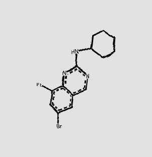 CCc1cc(Br)cc2cnc(NC3CCCCC3)nc12